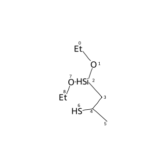 CCO[SiH](CC(C)S)OCC